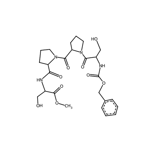 COC(=O)C(CO)NC(=O)C1CCCN1C(=O)C1CCCN1C(=O)C(CO)NC(=O)OCc1ccccc1